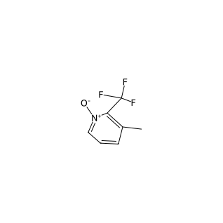 Cc1ccc[n+]([O-])c1C(F)(F)F